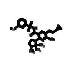 CC1CCN(c2nc(C(C)(C)C)c(/C=C/C3CC3)cc2C(=O)NS(=O)(=O)c2cccc(N)n2)C1(C)C